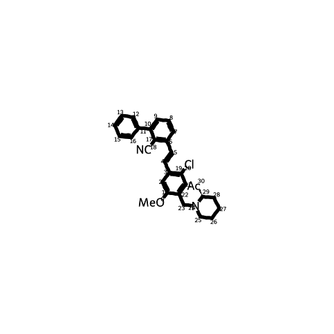 COc1cc(/C=C/c2cccc(-c3ccccc3)c2C#N)c(Cl)cc1CN1CCCC[C@H]1C(C)=O